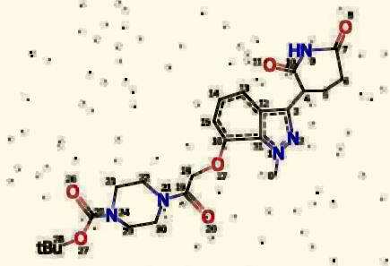 Cn1nc(C2CCC(=O)NC2=O)c2cccc(OCC(=O)N3CCN(C(=O)OC(C)(C)C)CC3)c21